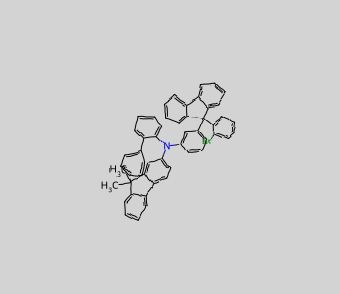 CC1(C)c2ccccc2-c2ccc(N(c3cccc(C4(c5ccccc5Br)c5ccccc5-c5ccccc54)c3)c3ccccc3-c3ccccc3)cc21